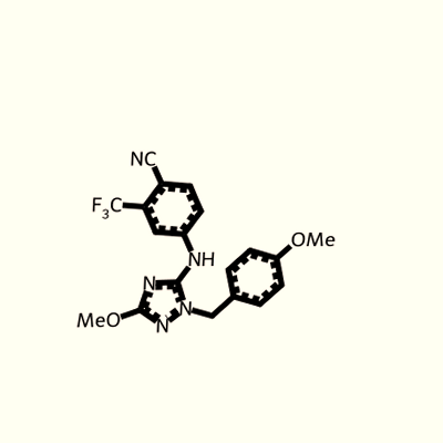 COc1ccc(Cn2nc(OC)nc2Nc2ccc(C#N)c(C(F)(F)F)c2)cc1